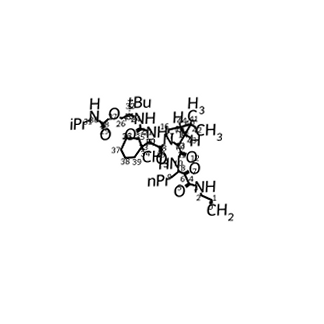 C=CCNC(=O)C(=O)C(CCC)NC(=O)[C@@H]1[C@@H]2[C@H](CN1C(=O)[C@@H](NC(=O)N[C@H](COC(=O)NC(C)C)C(C)(C)C)C1(C)CCCCC1)C2(C)C